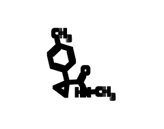 CNC(=O)C1(c2ccc(C)cc2)CC1